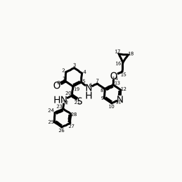 O=C1CCCC(NCc2ccncc2OCC2CC2)=C1C(=S)Nc1ccccc1